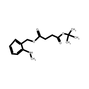 CNc1ccccc1COC(=O)CCC(=O)OC(C)(C)C